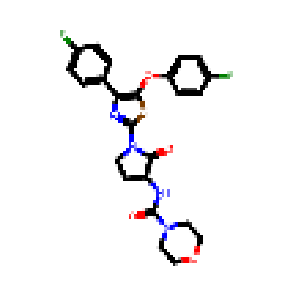 O=C(NC1CCN(c2nc(-c3ccc(F)cc3)c(Oc3ccc(F)cc3)s2)C1=O)N1CCOCC1